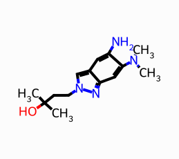 CN(C)c1cc2nn(CCC(C)(C)O)cc2cc1N